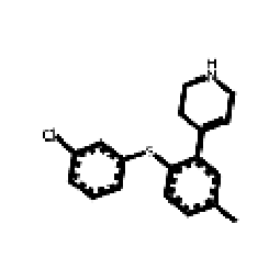 Cc1ccc(Sc2cccc(Cl)c2)c(C2=CCNCC2)c1